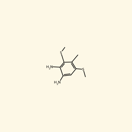 CSc1cc(N)c(N)c(SC)c1C